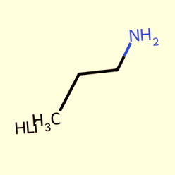 CCCN.[LiH]